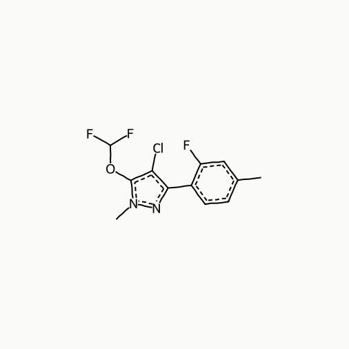 Cc1ccc(-c2nn(C)c(OC(F)F)c2Cl)c(F)c1